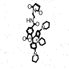 O=C(NCCN1C(=O)C=CC1=O)c1ccc2c(c1)C1(OC2=O)c2ccc(N3CCCCC3)cc2[Si]2(CCCCC2)c2cc(N3CCCCC3)ccc21